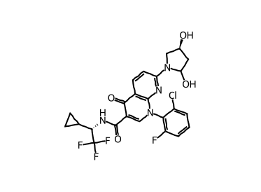 O=C(N[C@@H](C1CC1)C(F)(F)F)c1cn(-c2c(F)cccc2Cl)c2nc(N3C[C@@H](O)CC3O)ccc2c1=O